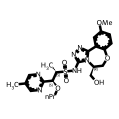 CCCO[C@@H](c1ncc(C)cn1)[C@H](C)S(=O)(=O)Nc1nnc2n1[C@H](CO)COc1ccc(OC)cc1-2